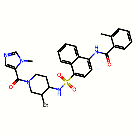 CCC1CN(C(=O)c2cncn2C)CCC1NS(=O)(=O)c1ccc(NC(=O)c2ccccc2C)c2ccccc12